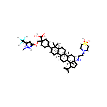 C=C(C)C1CC[C@]2(NCCN3CCS(=O)(=O)CC3)CC[C@]3(C)[C@H](CC[C@@H]4[C@@]5(C)CC=C(C6=CCC(COc7cc(C(F)(F)F)n(C)n7)(C(=O)O)CC6)C(C)(C)[C@@H]5CC[C@]43C)[C@@H]12